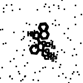 CCC(CC)(OC)C1CCCCN1C(=O)C1CNC[C@@]12CCCc1ccccc12